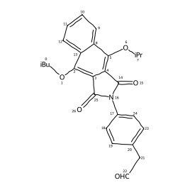 CCC(C)Oc1c2c(c(OC(C)C)c3ccccc13)C(=O)N(c1ccc(CC=O)cc1)C2=O